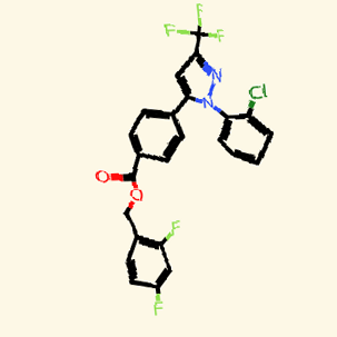 O=C(OCc1ccc(F)cc1F)c1ccc(-c2cc(C(F)(F)F)nn2-c2ccccc2Cl)cc1